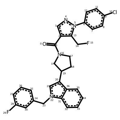 O=C(c1cnn(-c2ccc(Cl)cc2)c1CF)N1CCC(c2cn(Cc3cccc(F)c3)c3ccccc23)C1